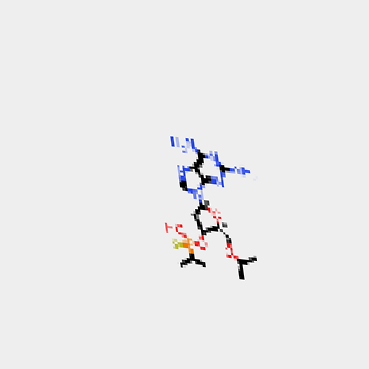 CC(C)OC[C@H]1O[C@@H](n2cnc3c(N)nc(N)nc32)CC1OP(O)(=S)C(C)C